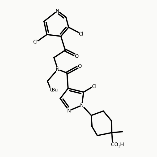 CC(C)(C)CN(CC(=O)c1c(Cl)cncc1Cl)C(=O)c1cnn(C2CCC(C)(C(=O)O)CC2)c1Cl